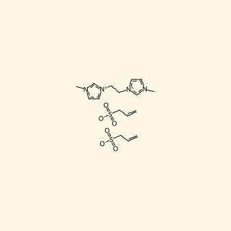 C=CCS(=O)(=O)[O-].C=CCS(=O)(=O)[O-].Cn1cc[n+](CC[n+]2ccn(C)c2)c1